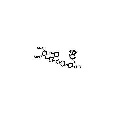 COc1ccc(CN2CCN(C3CC4(CCN(c5ccc(C=O)c(Oc6cnc7[nH]ccc7c6)c5)CC4)C3)C(c3ccccc3C(C)C)C2)c(OC)c1